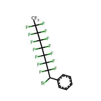 FC(F)(F)C(F)(F)C(F)(F)C(F)(F)C(F)(F)C(F)(F)C(F)(F)C(F)(F)C(Br)c1ccccc1